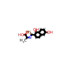 CC(/N=C(\S)c1ccc2cc(O)ccc2c1O)C(=O)O